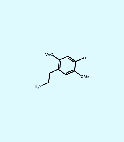 COc1cc(C(F)(F)F)c(OC)cc1CCN